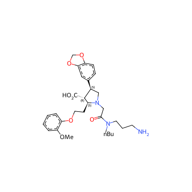 CCCCN(CCCN)C(=O)CN1C[C@H](c2ccc3c(c2)OCO3)[C@@H](C(=O)O)[C@@H]1CCOc1ccccc1OC